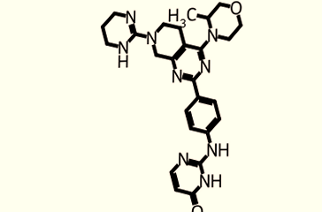 CC1COCCN1c1nc(-c2ccc(Nc3nccc(=O)[nH]3)cc2)nc2c1CCN(C1=NCCCN1)C2